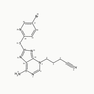 C#CCCCn1cnc(N)c2nc(Sc3ccc(Br)cn3)nc1-2